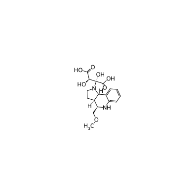 COC[C@@H]1Nc2ccccc2[C@H]2[C@@H]1CCN2[C@](O)(C(=O)O)[C@@H](O)C(=O)O